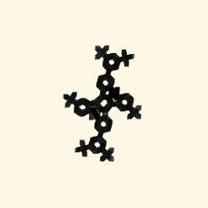 CC(C)(C)c1cc(-c2ccc3c4c5c6cc(C(C)(C)C)ccc6n6c7cc(-c8cc(C(C)(C)C)cc(C(C)(C)C)c8)ccc7c(c7c8cc(C(C)(C)C)ccc8n(c3c2)c74)c56)cc(C(C)(C)C)c1